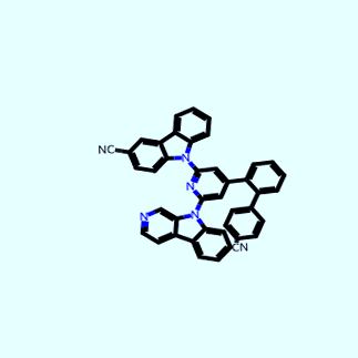 N#Cc1ccc(-c2ccccc2-c2cc(-n3c4ccccc4c4cc(C#N)ccc43)nc(-n3c4ccccc4c4ccncc43)c2)cc1